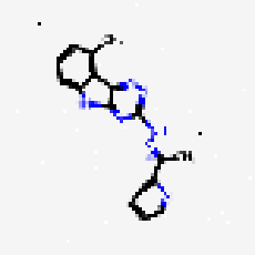 C/C(=N\Nc1nnc2c(n1)[nH]c1cccc(C)c12)c1ccccn1